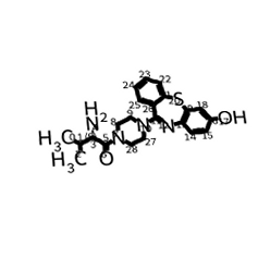 CC(C)[C@H](N)C(=O)N1CCN(C2=Nc3ccc(O)cc3Sc3ccccc32)CC1